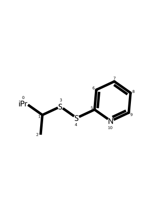 CC(C)C(C)SSc1ccccn1